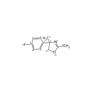 CC1=NC(C)(c2ccc(F)cc2)[CH]O1